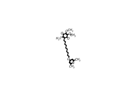 COC1=C(OC)C(=O)C(CCCCCCCCCCOc2cc(C)nc(C)c2)=C(C)C1=O